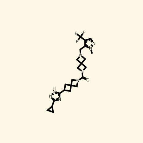 Cn1ncc(C(F)(F)F)c1CN1CC2(C1)CN(C(=O)N1CC3(CC(c4nc(C5CC5)n[nH]4)C3)C1)C2